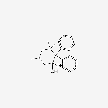 CC1CC(C)(C)C(c2ccccc2)(c2ccccc2)C(O)(O)C1